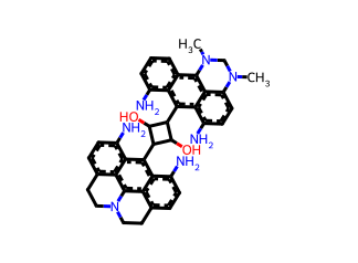 CN1CN(C)c2c3cccc(N)c3c(C3C(O)C(c4c5c(N)ccc6c5c5c7c(ccc(N)c47)CCN5CC6)C3O)c3c(N)ccc1c23